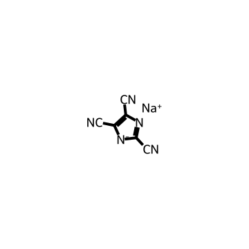 N#Cc1nc(C#N)c(C#N)[n-]1.[Na+]